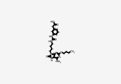 CCCCOc1nc(N)c2[nH]c(=O)n(CCCCNC(=O)Nc3cccc(CC(=O)O)c3)c2n1